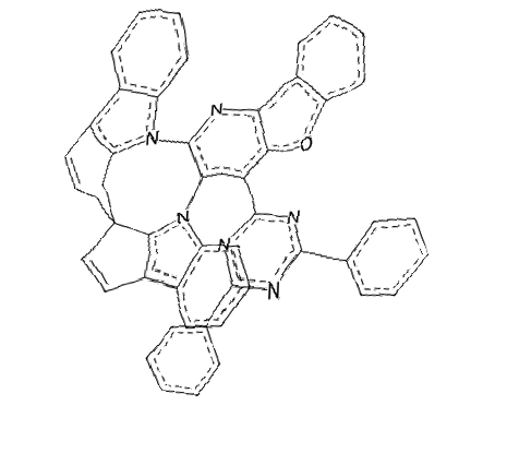 C1=CC23C=Cc4c2n(c2ccccc42)-c2c(nc4c(oc5ccccc54)c2-c2nc(-c4ccccc4)nc(-c4ccccc4)n2)-n2c(c1c1ccccc12)C3